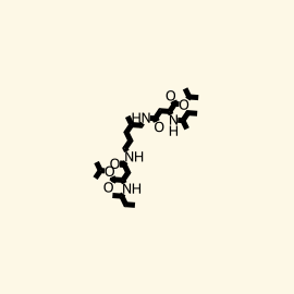 CCC(C)NC(CC(=O)NCCCC(C)CNC(=O)CC(NC(C)CC)C(=O)OC(C)C)C(=O)OC(C)C